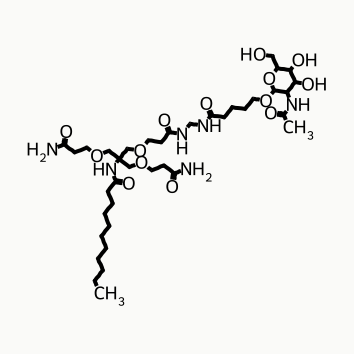 CCCCCCCCCCC(=O)NC(COCCC(N)=O)(COCCC(N)=O)COCCC(=O)NCNC(=O)CCCCOC1OC(CO)C(O)C(O)C1NC(C)=O